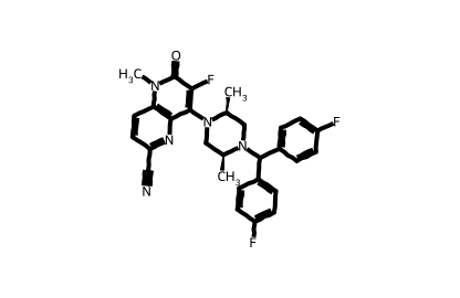 C[C@H]1CN(C(c2ccc(F)cc2)c2ccc(F)cc2)[C@@H](C)CN1c1c(F)c(=O)n(C)c2ccc(C#N)nc12